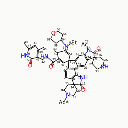 CCN(C1=CC(c2ccc3c(c2)NC(=O)C32CCN(C(C)=O)CC2)(c2ccc3c(c2)N(C(C)=O)C(=O)C32CCNCC2)C=C(C(=O)NCc2c(C)cc(C)[nH]c2=O)C1C)C1CCOCC1